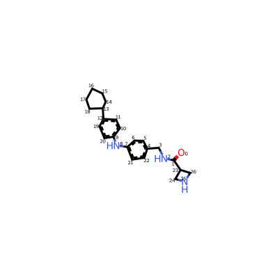 O=C(NCc1ccc(Nc2ccc(C3CCCCC3)cc2)cc1)C1CNC1